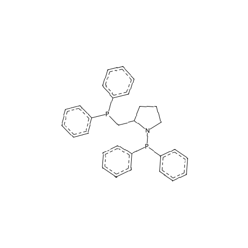 c1ccc(P(CC2CCCN2P(c2ccccc2)c2ccccc2)c2ccccc2)cc1